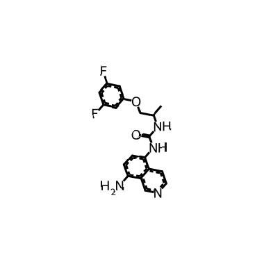 CC(COc1cc(F)cc(F)c1)NC(=O)Nc1ccc(N)c2cnccc12